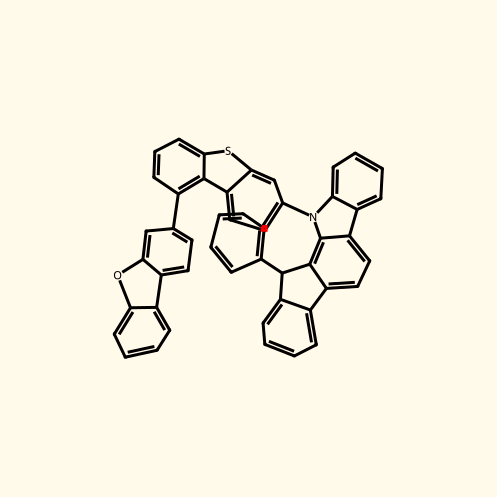 c1ccc(C2c3ccccc3-c3ccc4c5ccccc5n(-c5ccc6c(c5)sc5cccc(-c7ccc8c(c7)oc7ccccc78)c56)c4c32)cc1